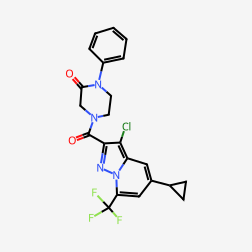 O=C(c1nn2c(C(F)(F)F)cc(C3CC3)cc2c1Cl)N1CCN(c2ccccc2)C(=O)C1